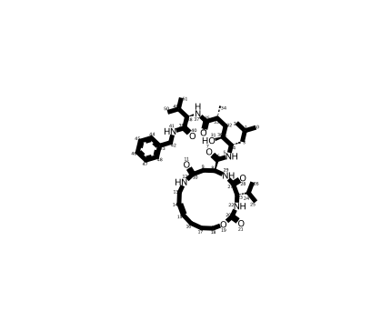 CC(C)C[C@H](NC(=O)[C@@H]1CC(=O)NC/C=C\CCCOC(=O)N[C@@H](C(C)C)C(=O)N1)[C@@H](O)C[C@@H](C)C(=O)N[C@H](C(=O)NCc1ccccc1)C(C)C